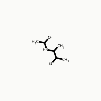 CCC(C)C(C)NC(C)[O]